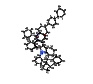 c1ccc(-c2ccc(-c3ccc(N(c4ccc5c(c4)c4cccc6c4n5-c4ccccc4C64c5ccccc5-c5ccccc54)c4ccccc4-c4ccccc4-c4ccccc4)cc3)cc2)cc1